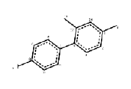 Cc1ccc(-c2ccc(I)cc2)c(C)c1